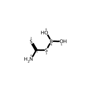 NC(=S)SB(O)O